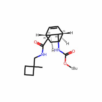 CC1(CNC(=O)[C@@H]2[C@H](NC(=O)OC(C)(C)C)[C@@H]3C=C[C@H]2CC3)CCC1